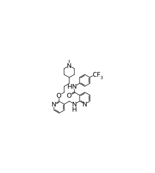 CN1CCC(CCCOc2ncccc2CNc2ncccc2C(=O)Nc2ccc(C(F)(F)F)cc2)CC1